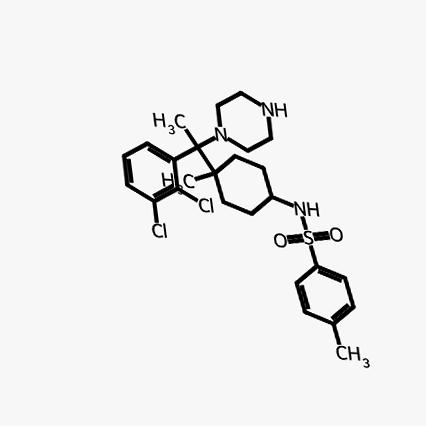 Cc1ccc(S(=O)(=O)NC2CCC(C)(C(C)(c3cccc(Cl)c3Cl)N3CCNCC3)CC2)cc1